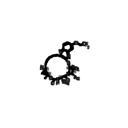 CC[C@@H]1[C@@H]2CN(C(=O)[C@H](C(C)(C)C)NC(=O)O[C@]3(C)C[C@H]3CCCCCc3nc4ccc(OCC(F)(F)F)cc4nc3O2)[C@@H]1C(C)=O